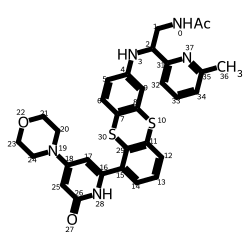 CC(=O)NCC(Nc1ccc2c(c1)Sc1cccc(-c3cc(N4CCOCC4)cc(=O)[nH]3)c1S2)c1cccc(C)n1